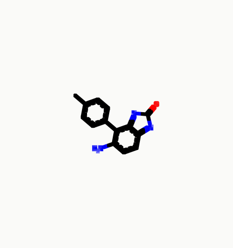 Cc1ccc(-c2c(N)ccc3c2=NC(=O)N=3)cc1